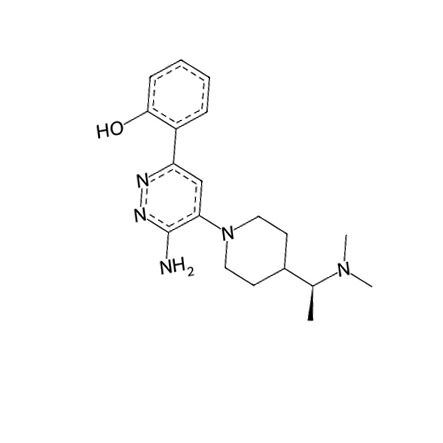 C[C@@H](C1CCN(c2cc(-c3ccccc3O)nnc2N)CC1)N(C)C